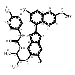 Cc1cc(-c2nc3cc(F)c(O[C@@H](C)[C@@H](C)OC(=O)Nc4cnc(C)nc4)cc3s2)c2ncc(OC(C)C)nc2c1